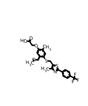 COCc1cc(OCC(=O)O)c(C)cc1SCc1sc(-c2ccc(C(F)(F)F)cc2)nc1C